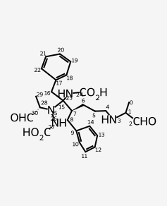 CC(C=O)NCCC[C@@H](Cc1ccccc1)C(Cc1ccccc1)(NC(=O)O)N(NC(=O)O)[C@@H](C)C=O